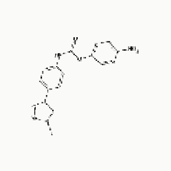 CN1CC(c2ccc(NC(=O)Oc3ccc([N+](=O)[O-])cc3)cc2)C=N1